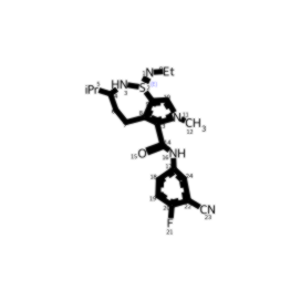 CC/N=S1/NC(C(C)C)CCc2c1cn(C)c2C(=O)Nc1ccc(F)c(C#N)c1